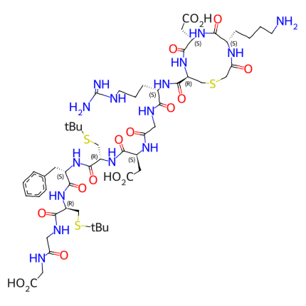 CC(C)(C)SC[C@H](NC(=O)[C@H](Cc1ccccc1)NC(=O)[C@H](CSC(C)(C)C)NC(=O)[C@H](CC(=O)O)NC(=O)CNC(=O)[C@H](CCCNC(=N)N)NC(=O)[C@@H]1CSCC(=O)N[C@@H](CCCCN)C(=O)N[C@@H](CC(=O)O)C(=O)N1)C(=O)NCC(=O)NCC(=O)O